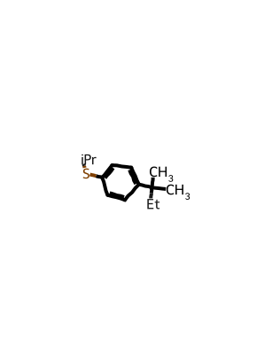 CCC(C)(C)c1ccc(SC(C)C)cc1